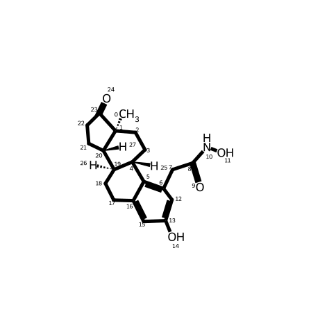 C[C@]12CC[C@@H]3c4c([CH]C(=O)NO)cc(O)cc4CC[C@H]3[C@@H]1CCC2=O